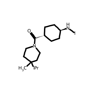 CC(C)C1(C)CCN(C(=O)[C@H]2CC[C@H](NI)CC2)CC1